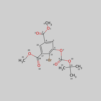 COC(=O)c1cc(OC(=O)OC(C)(C)C)c(Br)c(C(=O)OC)c1